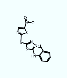 O=[N+]([O-])c1cnc(Sc2nnc(Nc3ccccc3Cl)s2)s1